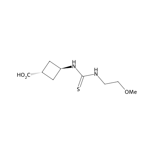 COCCNC(=S)N[C@H]1C[C@H](C(=O)O)C1